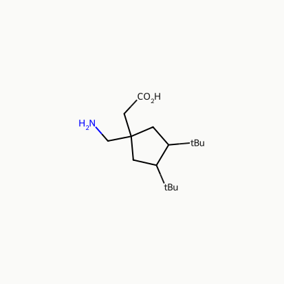 CC(C)(C)C1CC(CN)(CC(=O)O)CC1C(C)(C)C